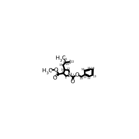 COC(=O)C1CN(C(=O)OCc2ccccc2)CC1C[C@@H](C)I